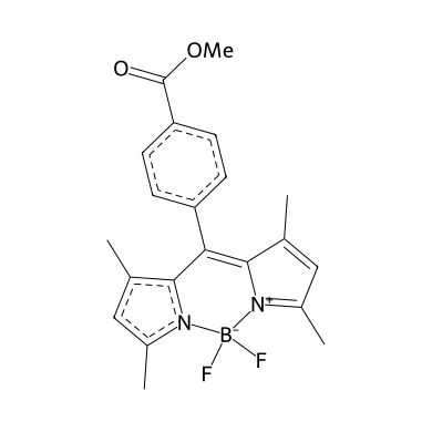 COC(=O)c1ccc(C2=C3C(C)=CC(C)=[N+]3[B-](F)(F)n3c(C)cc(C)c32)cc1